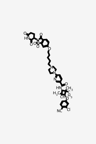 CC1(C)[C@H](NC(=O)c2ccc(N3CCN(CCCCCOc4ccc5c(c4)S(=O)(=O)N(C4CCC(=O)NC4=O)C5=O)CC3)nc2)C(C)(C)[C@H]1Oc1ccc(C#N)c(Cl)c1